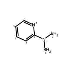 BN(B)c1ccccn1